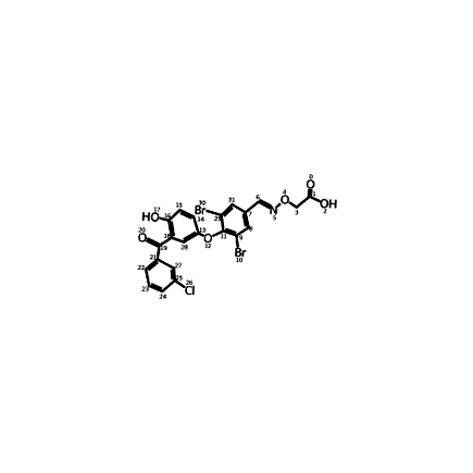 O=C(O)CON=Cc1cc(Br)c(Oc2ccc(O)c(C(=O)c3cccc(Cl)c3)c2)c(Br)c1